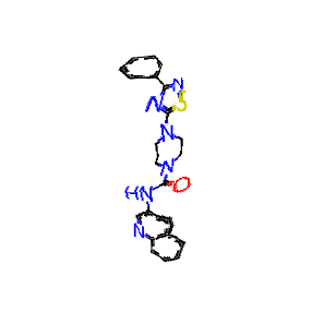 O=C(Nc1cnc2ccccc2c1)N1CCN(c2nc(-c3ccccc3)ns2)CC1